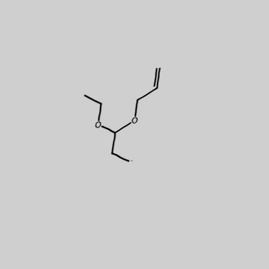 [CH2]CC(OCC)OCC=C